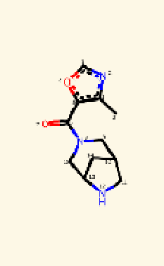 Cc1ncoc1C(=O)N1CC2CNC(C2)C1